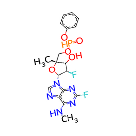 CNc1nc(F)nc2c1ncn2[C@@H]1O[C@](C)(CO[PH](=O)Oc2ccccc2)[C@@H](O)[C@H]1F